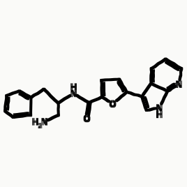 NCC(Cc1ccccc1)NC(=O)c1ccc(-c2c[nH]c3ncccc23)o1